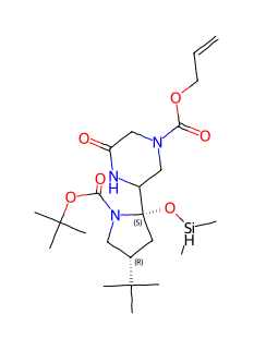 C=CCOC(=O)N1CC(=O)NC([C@@]2(O[SiH](C)C)C[C@H](C(C)(C)C)CN2C(=O)OC(C)(C)C)C1